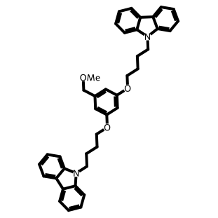 COCc1cc(OCCCCn2c3ccccc3c3ccccc32)cc(OCCCCn2c3ccccc3c3ccccc32)c1